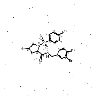 O=C(NCc1cc(Br)c(F)cn1)C1CC(F)CN1S(=O)(=O)c1ccc(F)cc1